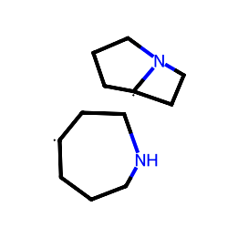 C1C[C]2CCN2C1.[CH]1CCCNCC1